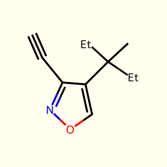 C#Cc1nocc1C(C)(CC)CC